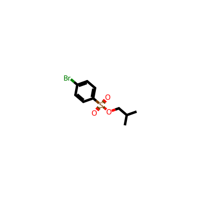 CC(C)COS(=O)(=O)c1ccc(Br)cc1